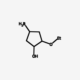 BC1CC(O)C(OCC)C1